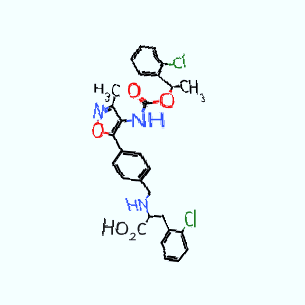 Cc1noc(-c2ccc(CNC(Cc3ccccc3Cl)C(=O)O)cc2)c1NC(=O)O[C@H](C)c1ccccc1Cl